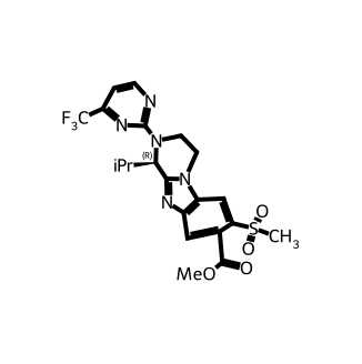 COC(=O)c1cc2nc3n(c2cc1S(C)(=O)=O)CCN(c1nccc(C(F)(F)F)n1)[C@@H]3C(C)C